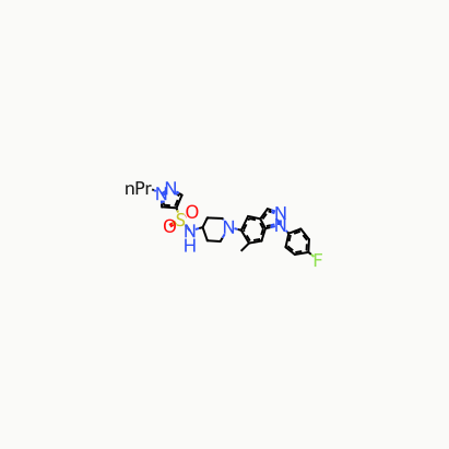 CCCn1cc(S(=O)(=O)NC2CCN(c3cc4cnn(-c5ccc(F)cc5)c4cc3C)CC2)cn1